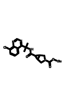 CC(C)(C)OC(=O)N1CC2C(C1)C2C(=O)NC(C)(C)c1ncnc2c(Cl)cccc12